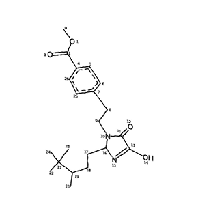 COC(=O)c1ccc(CCN2C(=O)C(O)=NC2CCC(C)C(C)(C)C)cc1